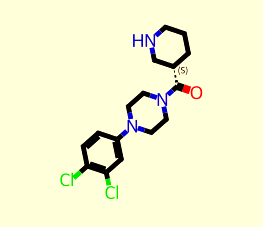 O=C([C@H]1CCCNC1)N1CCN(c2ccc(Cl)c(Cl)c2)CC1